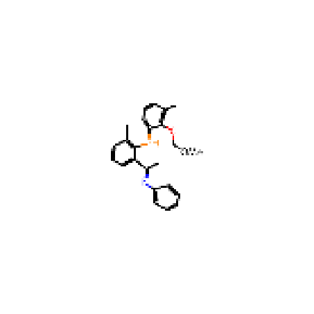 COCOc1c(C)cccc1Pc1c(C)cccc1/C(C)=N/c1ccccc1